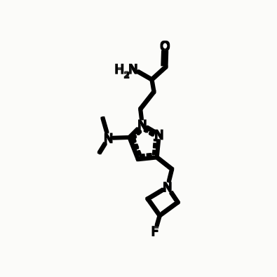 CN(C)c1cc(CN2CC(F)C2)nn1CCC(N)C=O